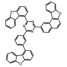 c1cc(-c2nc(-c3ccc4ccc5oc6ccccc6c5c4c3)nc(-c3cccc4sc5ccccc5c34)n2)cc(-c2cccc3oc4ccccc4c23)c1